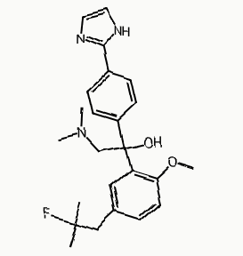 COc1ccc(CC(C)(C)F)cc1C(O)(CN(C)C)c1ccc(-c2ncc[nH]2)cc1